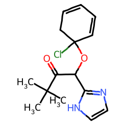 CC(C)(C)C(=O)C(OC1(Cl)C=CC=CC1)c1ncc[nH]1